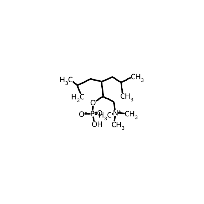 CC(C)CC(CC(C)C)C(C[N+](C)(C)C)OP(=O)([O-])O